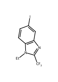 CCn1c(C(F)(F)F)nc2cc(I)ccc21